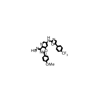 COc1ccc(COc2cc(Nc3ncc(-c4ccc(C(F)(F)F)cc4)o3)cnc2/C(N)=N/O)cc1